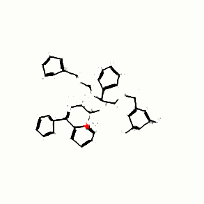 CCOC(=O)[C@H](N=C(c1ccccc1)c1ccccc1)[C@@H](C[C@](CO[C@H](C)c1cc(C(F)(F)F)cc(C(F)(F)F)c1)(NC(=O)OCc1ccccc1)c1ccccc1)NC